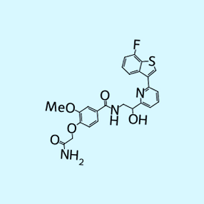 COc1cc(C(=O)NCC(O)c2cccc(-c3csc4c(F)cccc34)n2)ccc1OCC(N)=O